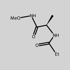 CCC(=O)N[C@H](C)C(=O)NOC